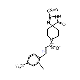 CCCCCCCCCC1=NC2(CCN([S@@+]([O-])/C=C/c3ccc(N)cc3C)CC2)C(=O)N1